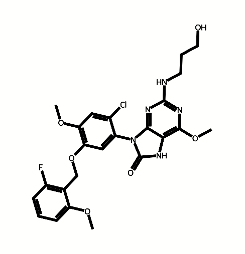 COc1cc(Cl)c(-n2c(=O)[nH]c3c(OC)nc(NCCCO)nc32)cc1OCc1c(F)cccc1OC